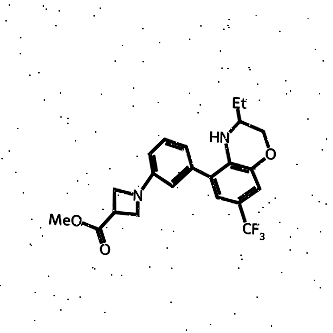 CCC1COc2cc(C(F)(F)F)cc(-c3cccc(N4CC(C(=O)OC)C4)c3)c2N1